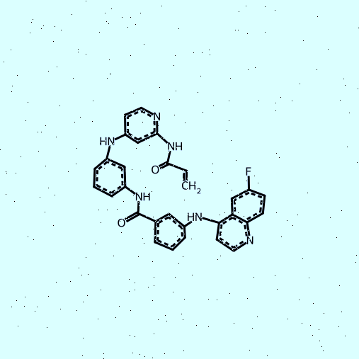 C=CC(=O)Nc1cc(Nc2cccc(NC(=O)c3cccc(Nc4ccnc5ccc(F)cc45)c3)c2)ccn1